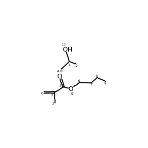 C=C(C)C(=O)OCCCC.CC(C)O